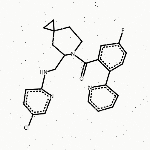 O=C(c1cc(F)ccc1-c1ccccn1)N1CCC2(CC2)CC1CNc1ccc(Cl)cn1